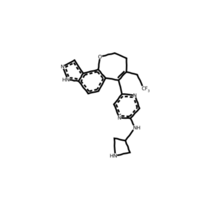 FC(F)(F)CC1=C(c2cnc(NC3CNC3)cn2)c2ccc3[nH]ncc3c2OCC1